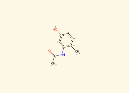 CC(=O)Nc1cc(O)ccc1C